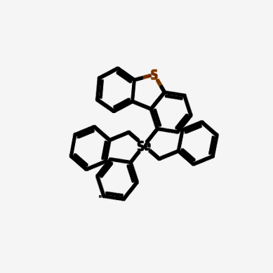 [c]1ccc([Se](Cc2ccccc2)(Cc2ccccc2)c2cccc3sc4ccccc4c23)cc1